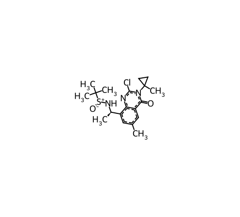 Cc1cc([C@@H](C)N[S@+]([O-])C(C)(C)C)c2nc(Cl)n(C3(C)CC3)c(=O)c2c1